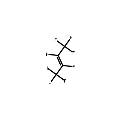 FC(=C(F)C(F)(F)I)C(F)(F)F